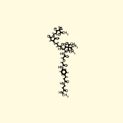 CNC(=O)CCNC(=O)CCc1ccc(NC(=O)COCC(=O)NC[C@@H](NC(=O)CCSC2CC(=O)N(CCC(=O)C3(C(C)=O)SS3)C2=O)C(=O)C(C(C)=O)(C(C)=O)C(C)=O)cc1